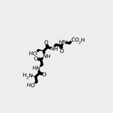 N[C@@H](CO)C(=O)NCC(=O)N[C@@H](CO)C(=O)NCC(=O)NCC(=O)O